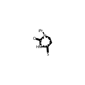 CC(C)n1ccc(=S)[nH]c1=O